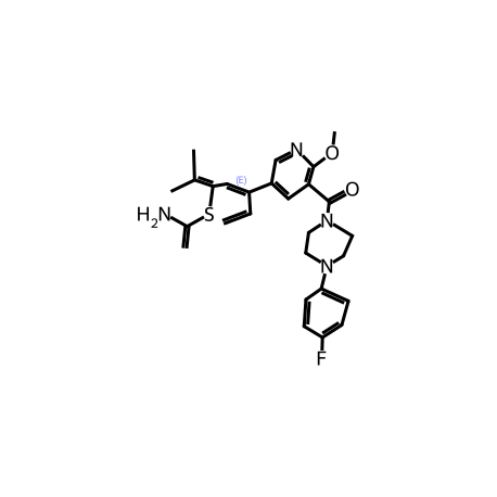 C=C/C(=C\C(SC(=C)N)=C(C)C)c1cnc(OC)c(C(=O)N2CCN(c3ccc(F)cc3)CC2)c1